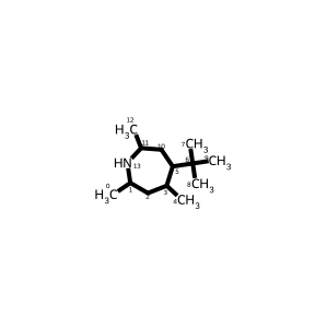 CC1CC(C)C(C(C)(C)C)CC(C)N1